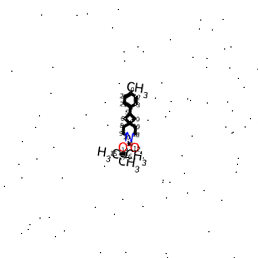 Cc1ccc(C2CC3(CCN(C(=O)OC(C)(C)C)CC3)C2)cc1